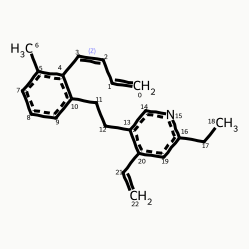 C=C/C=C\c1c(C)cccc1CCc1cnc(CC)cc1C=C